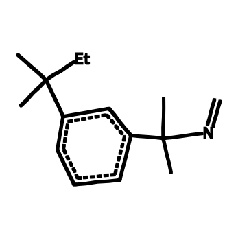 C=NC(C)(C)c1cccc(C(C)(C)CC)c1